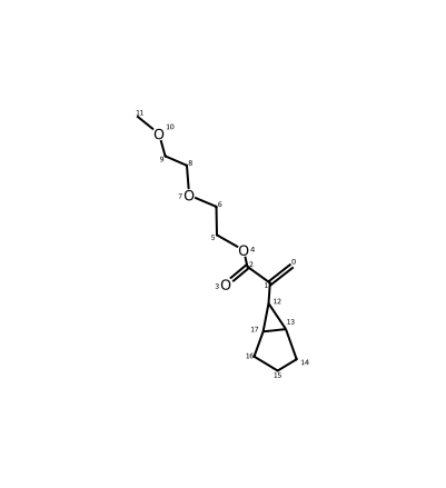 C=C(C(=O)OCCOCCOC)C1C2CCCC21